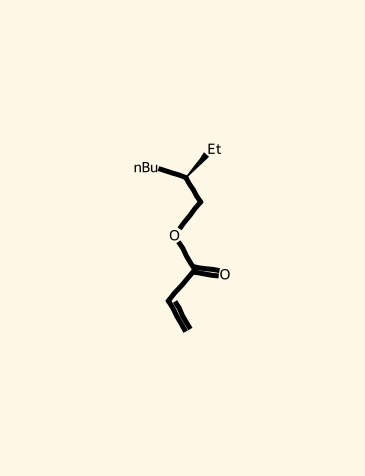 C=CC(=O)OC[C@H](CC)CCCC